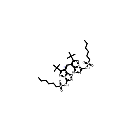 CCCCCCS(=O)(=O)Nc1n[nH]c2c(/C=c3/c(C(C)(C)C)nn4c(NS(=O)(=O)CCCCCC)nnc34)c(C(C)(C)C)nn12